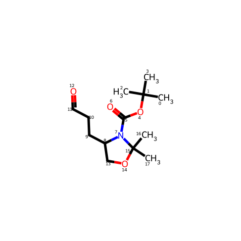 CC(C)(C)OC(=O)N1C(CCC=O)COC1(C)C